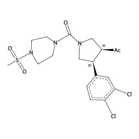 CC(=O)[C@@H]1CN(C(=O)N2CCN(S(C)(=O)=O)CC2)C[C@@H]1c1ccc(Cl)c(Cl)c1